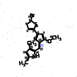 COC1=CC(C2=CCC(Br)S2)=N/C1=C\c1[nH]c(C)cc1C